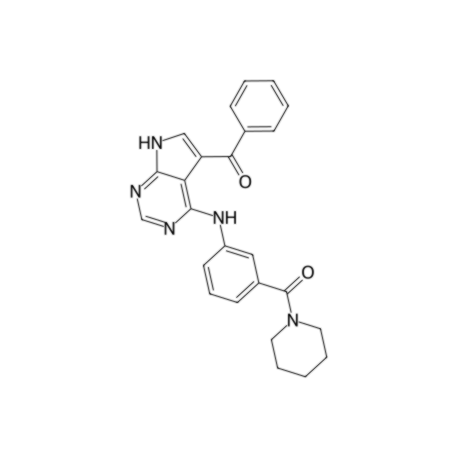 O=C(c1ccccc1)c1c[nH]c2ncnc(Nc3cccc(C(=O)N4CCCCC4)c3)c12